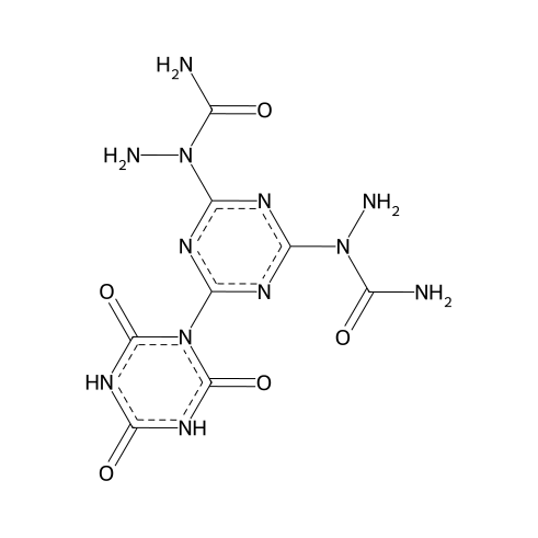 NC(=O)N(N)c1nc(N(N)C(N)=O)nc(-n2c(=O)[nH]c(=O)[nH]c2=O)n1